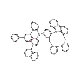 c1ccc(-c2cccc(-c3ccccc3N(c3ccc(-c4cccc5ccccc45)cc3)c3ccc4c(c3)Cc3ccccc3-c3ccccc3Cc3cccc5c6ccccc6n-4c35)c2)cc1